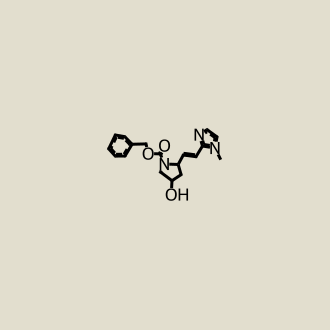 Cn1ccnc1C=CC1CC(O)CN1C(=O)OCc1ccccc1